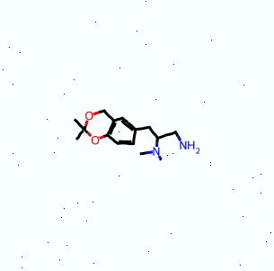 CN(C)C(CN)Cc1ccc2c(c1)COC(C)(C)O2